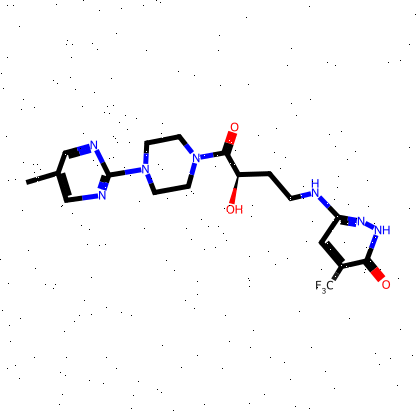 Cc1cnc(N2CCN(C(=O)[C@H](O)CCNc3cc(C(F)(F)F)c(=O)[nH]n3)CC2)nc1